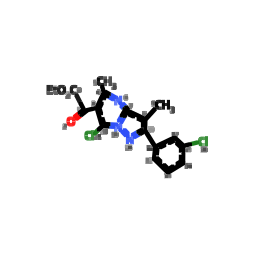 CCOC(=O)C(=O)c1c(C)nc2c(C)c(-c3cccc(Cl)c3)nn2c1Cl